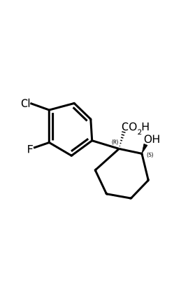 O=C(O)[C@@]1(c2ccc(Cl)c(F)c2)CCCC[C@@H]1O